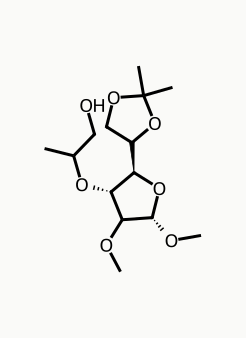 COC1[C@@H](OC)O[C@H](C2COC(C)(C)O2)[C@H]1OC(C)CO